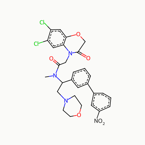 CN(C(=O)CN1C(=O)COc2cc(Cl)c(Cl)cc21)C(CN1CCOCC1)c1cccc(-c2cccc([N+](=O)[O-])c2)c1